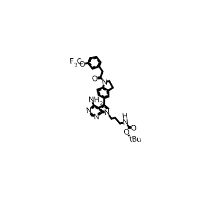 CC(C)(C)OC(=O)NCCCn1cc(-c2ccc3c(c2)CCN3C(=O)Cc2cccc(OC(F)(F)F)c2)c2c(N)ncnc21